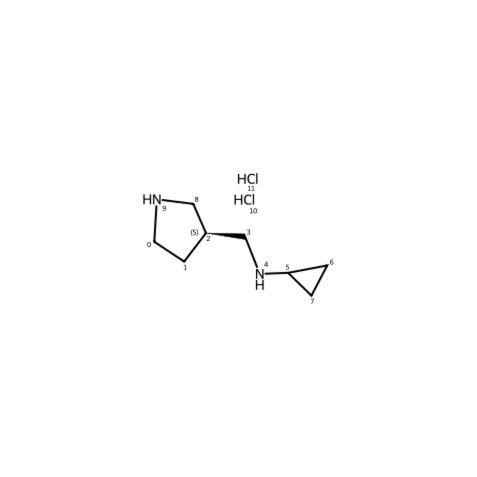 C1C[C@H](CNC2CC2)CN1.Cl.Cl